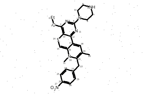 CCOc1nc(N2CCNCC2)nc2c1SC=C1C2=CC(C)=C(Cc2ccc([N+](=O)[O-])cc2)N1C